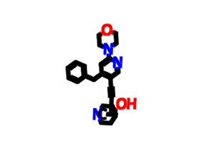 OC1(C#Cc2cnc(N3CCOCC3)cc2Cc2ccccc2)CN2CCC1CC2